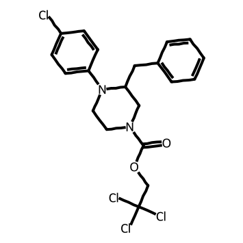 O=C(OCC(Cl)(Cl)Cl)N1CCN(c2ccc(Cl)cc2)C(Cc2ccccc2)C1